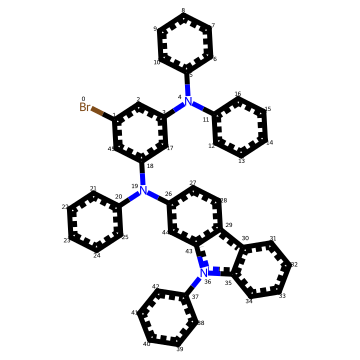 Brc1cc(N(c2ccccc2)c2ccccc2)cc(N(c2ccccc2)c2ccc3c4ccccc4n(-c4ccccc4)c3c2)c1